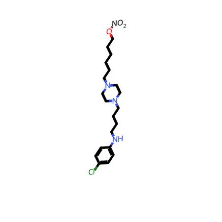 O=[N+]([O-])OCCCCCCN1CCN(CCCCNc2ccc(Cl)cc2)CC1